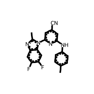 Cc1ccc(Nc2cc(C#N)cc(-n3c(C)nc4cc(F)c(F)cc43)n2)cc1